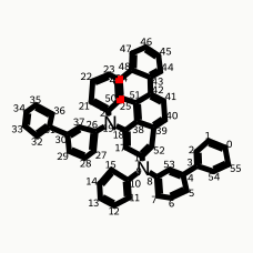 c1ccc(-c2cccc(N(c3ccccc3)c3cc(N(c4ccccc4)c4cccc(-c5ccccc5)c4)c4c(ccc5c6ccccc6ccc54)c3)c2)cc1